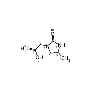 C=C(O)CN1CC(C)NC1=O